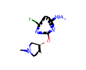 CN1CC[C@@H](Oc2nc(N)cc(F)n2)C1